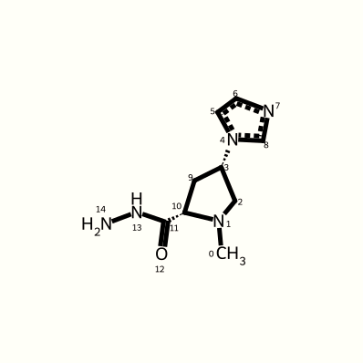 CN1C[C@@H](n2ccnc2)C[C@H]1C(=O)NN